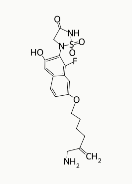 C=C(CN)CCCCOc1ccc2cc(O)c(N3CC(=O)NS3(=O)=O)c(F)c2c1